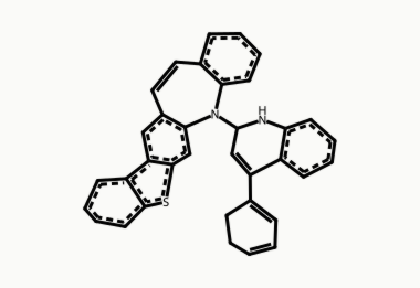 C1=CCCC(C2=CC(N3c4ccccc4C=Cc4cc5c(cc43)sc3ccccc35)Nc3ccccc32)=C1